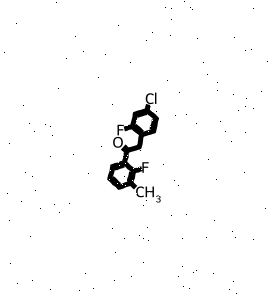 Cc1cccc(C(=O)Cc2ccc(Cl)cc2F)c1F